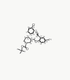 CC(C)(C)OC(=O)N1CC[C@H](c2ccc(Cl)cc2)[C@@H](COc2ccc(I)cc2C#N)C1